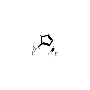 [C]=O.[Co+2][C]1=CC=CC1.[F-].[F-]